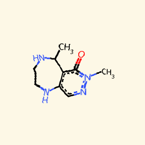 CC1NCCNc2cnn(C)c(=O)c21